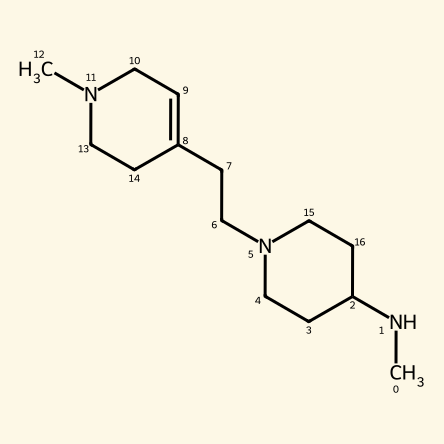 CNC1CCN(CCC2=CCN(C)CC2)CC1